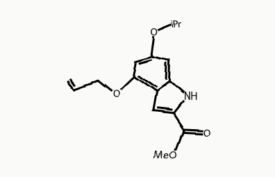 C=CCOc1cc(OC(C)C)cc2[nH]c(C(=O)OC)cc12